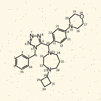 c1ccc(Cn2nnnc2C(c2ccc(N3CCOCC3)cc2)N2CCCN(C3CCC3)CC2)cc1